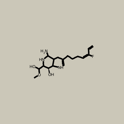 C=C/C(F)=C\CCCC1=CNC2C(C1)C(N)NC(C(O)OC)[C@@H]2O